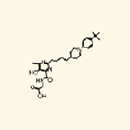 Cc1nc(CCCCC2CCN(c3ccc(C(C)(C)C)cc3)CC2)nc(C(=O)NCC(=O)O)c1O